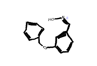 O/N=C\c1cccc(Oc2cc[c]cc2)c1